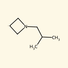 CC(C)CN1C[CH]C1